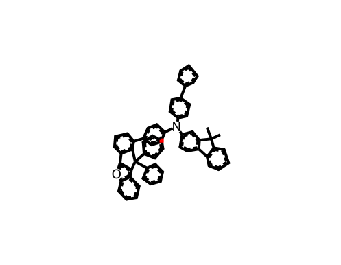 CC1(C)c2ccccc2-c2ccc(N(c3ccc(-c4ccccc4)cc3)c3ccc(-c4cccc5c4C(c4ccccc4)(c4ccccc4)c4c-5oc5ccccc45)cc3)cc21